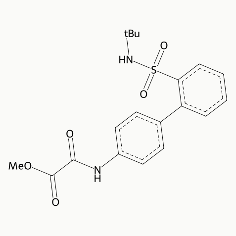 COC(=O)C(=O)Nc1ccc(-c2ccccc2S(=O)(=O)NC(C)(C)C)cc1